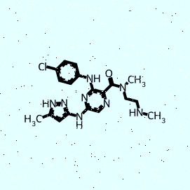 CNCCN(C)C(=O)c1ncc(Nc2cc(C)[nH]n2)nc1Nc1ccc(Cl)cc1